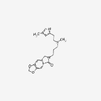 CN(CCCN1Cc2cc3c(cc2C1=O)OCO3)CCc1cn(C)cn1